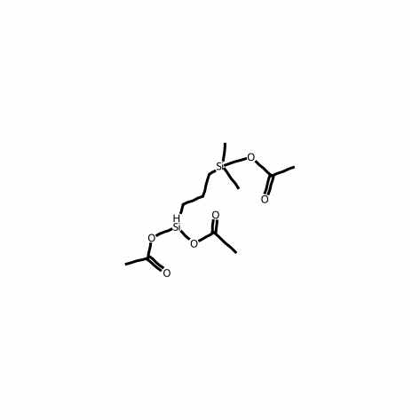 CC(=O)O[SiH](CCC[Si](C)(C)OC(C)=O)OC(C)=O